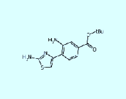 CC(C)(C)OC(=O)c1ccc(-c2csc(N)n2)c(N)c1